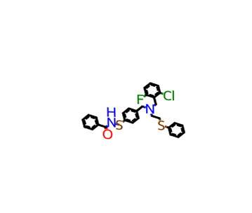 O=C(NSc1ccc(CN(CCSc2ccccc2)Cc2c(F)cccc2Cl)cc1)c1ccccc1